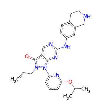 C=CCn1c(=O)c2cnc(Nc3ccc4c(c3)CNCC4)nc2n1-c1cccc(OC(C)C)n1